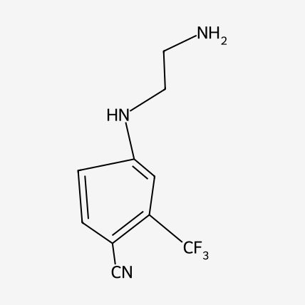 N#Cc1ccc(NCCN)cc1C(F)(F)F